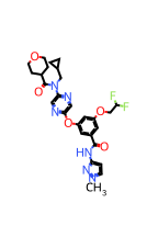 Cn1ccc(NC(=O)c2cc(OCC(F)F)cc(Oc3cnc(N(CC4CC4)C(=O)C4CCOCC4)cn3)c2)n1